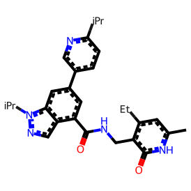 CCc1cc(C)[nH]c(=O)c1CNC(=O)c1cc(-c2ccc(C(C)C)nc2)cc2c1cnn2C(C)C